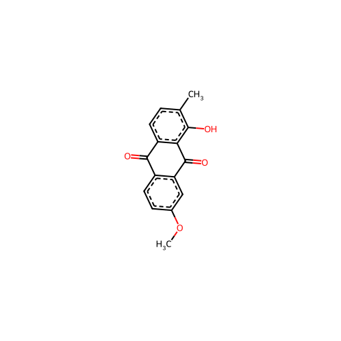 COc1ccc2c(c1)C(=O)c1c(ccc(C)c1O)C2=O